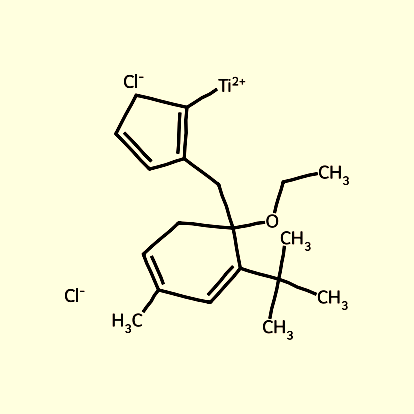 CCOC1(CC2=[C]([Ti+2])CC=C2)CC=C(C)C=C1C(C)(C)C.[Cl-].[Cl-]